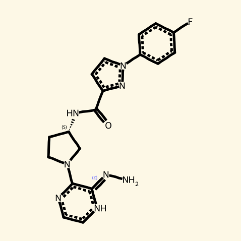 N/N=c1\[nH]ccnc1N1CC[C@H](NC(=O)c2ccn(-c3ccc(F)cc3)n2)C1